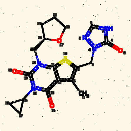 Cc1c(Cn2nc[nH]c2=O)sc2c1c(=O)n(C1CC1)c(=O)n2C[C@H]1CCCO1